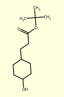 CC(C)(C)OC(=O)CCC1CCC(O)CC1